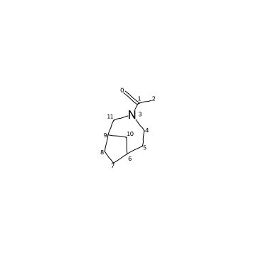 C=C(C)N1CCC2CCC(C2)C1